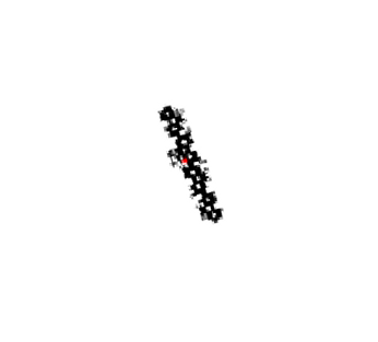 Cc1cc2c(cc1-c1ccc3c(c1)C(C)(C)c1ccccc1-3)C(C)(C)c1cc(-c3cc4c(cc3C)-c3cc(C)c(-c5ccc6c(c5)C(C)(C)c5ccccc5-6)cc3C4(C)C(F)(F)F)c(C)cc1-2